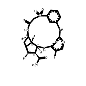 NC(=O)[C@H]1[C@H]2C[C@H]3[C@H]1Nc1nc(ncc1F)Nc1cccc(c1)S(=O)(=O)CC(=O)N[C@@H]3C2